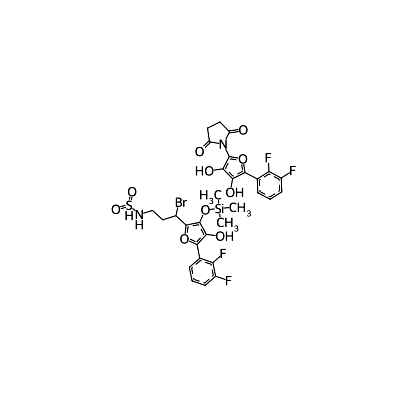 C[Si](C)(C)Oc1c(C(Br)CCN[SH](=O)=O)oc(-c2cccc(F)c2F)c1O.O=C1CCC(=O)N1c1oc(-c2cccc(F)c2F)c(O)c1O